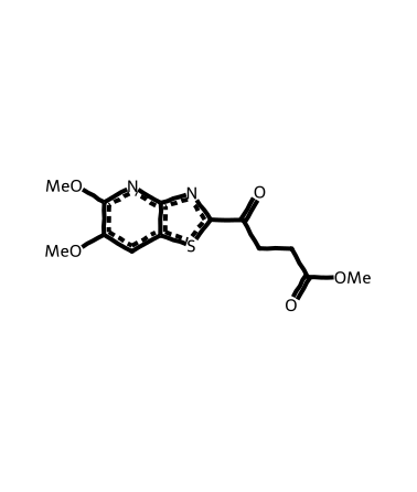 COC(=O)CCC(=O)c1nc2nc(OC)c(OC)cc2s1